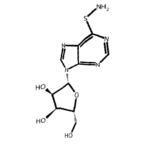 NSc1ncnc2c1ncn2[C@@H]1O[C@H](CO)[C@@H](O)[C@H]1O